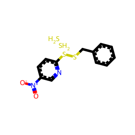 O=[N+]([O-])c1ccc(SSCc2ccccc2)nc1.S.S